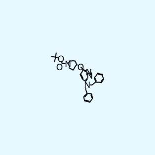 CC(C)(C)OC(=O)N1CCC(Oc2ccc(N(Cc3ccccc3)Cc3ccccc3)nn2)CC1